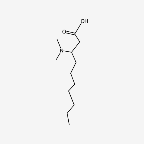 CCCCCCCC(CC(=O)O)N(C)C